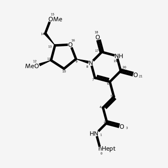 CCCCCCCNC(=O)/C=C/c1cn([C@H]2C[C@@H](OC)[C@@H](COC)O2)c(=O)[nH]c1=O